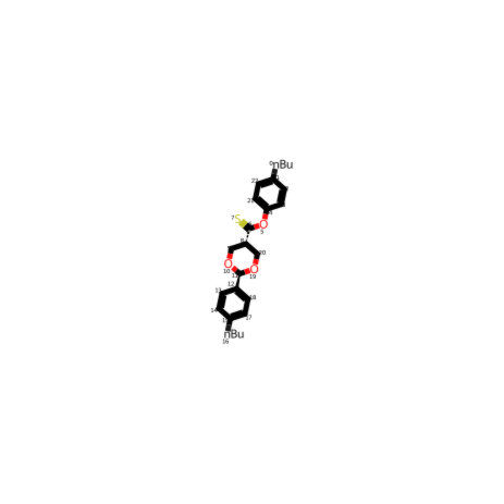 CCCCc1ccc(OC(=S)[C@H]2CO[C@H](c3ccc(CCCC)cc3)OC2)cc1